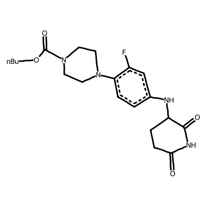 CCCCOC(=O)N1CCN(c2ccc(NC3CCC(=O)NC3=O)cc2F)CC1